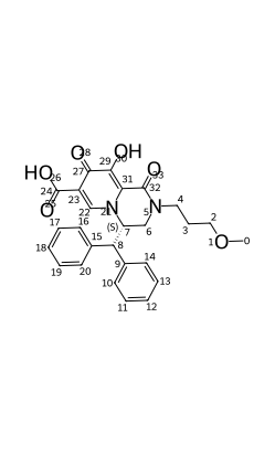 COCCCN1C[C@H](C(c2ccccc2)c2ccccc2)n2cc(C(=O)O)c(=O)c(O)c2C1=O